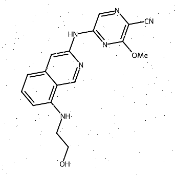 COc1nc(Nc2cc3cccc(NCCO)c3cn2)cnc1C#N